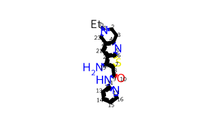 CCN1CCc2nc3sc(C(=O)Nc4ccccn4)c(N)c3cc2C1